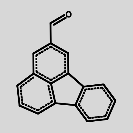 O=Cc1cc2c3c(cccc3c1)-c1ccccc1-2